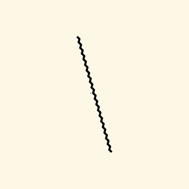 CCCCCCCCCCCCCCCCCCCC[CH]CCCCCCCCCCCCCCCCCCCCC